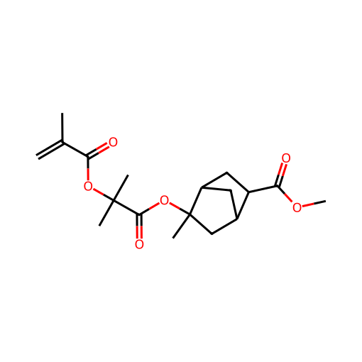 C=C(C)C(=O)OC(C)(C)C(=O)OC1(C)CC2CC1CC2C(=O)OC